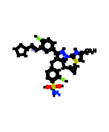 NS(=O)(=O)c1ccc(Cc2c(-c3ccc(F)c(/C=C/C4CCCC4)c3)nn(-c3nc(C(=O)O)cs3)c2CC2CC2)cc1F